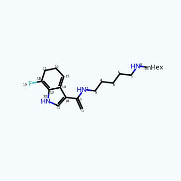 C=C(NCCCCCNCCCCCC)c1c[nH]c2c1=CCCC=2F